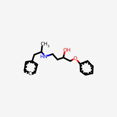 CC(Cc1ccccc1)NCCC(O)COc1ccccc1